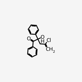 C=C(Cl)CC(O)(C(=O)c1ccccc1)c1ccccc1